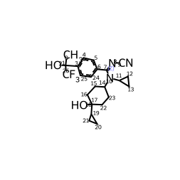 CC(O)(c1ccc(/C(=N/C#N)N(C2CC2)C2CCC(O)(C3CC3)CC2)cc1)C(F)(F)F